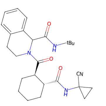 CC(C)(C)NC(=O)C1c2ccccc2CCN1C(=O)[C@@H]1CCCC[C@H]1C(=O)NC1(C#N)CC1